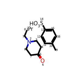 CC(C)CN1CCC(=O)CC1.Cc1ccc(S(=O)(=O)O)cc1